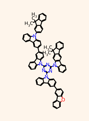 CC1(C)c2ccccc2-c2ccc(-n3c4ccccc4c4cc(-c5ccc6c(c5)c5ccccc5n6-c5nc(-n6c7ccccc7c7cc(-c8ccc9oc%10ccccc%10c9c8)ccc76)nc(-n6c7ccccc7c7cc8c(cc76)C(C)(C)c6ccccc6-8)n5)ccc43)cc21